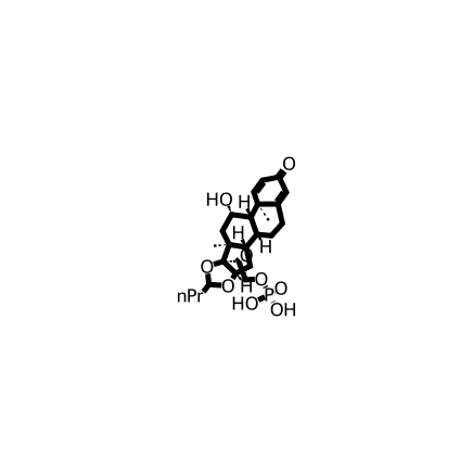 CCCC1O[C@@H]2C[C@H]3[C@@H]4CCC5=CC(=O)C=C[C@]5(C)[C@H]4[C@@H](O)C[C@]3(C)[C@]2(C(=O)COP(=O)(O)O)O1